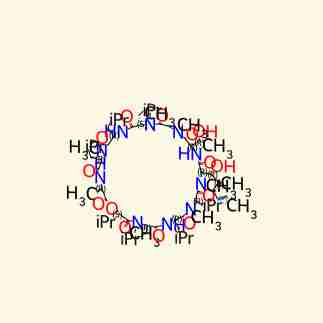 C/C=C/C[C@@H](C)[C@@H](O)[C@@H]1C(=O)N[C@H]([C@@H](C)O)C(=O)N(C)CC(=O)N(C)[C@@H](CC(C)C)C(=O)N[C@H](CC(C)C)C(=O)N(C)[C@H](CC(C)C)C(=O)N[C@H](C)C(=O)O[C@@H](C(C)C)C(=O)N(C)[C@H](CC(C)C)C(=O)N[C@H](CC(C)C)C(=O)N(C)[C@H](C(C)C)C(=O)N1C